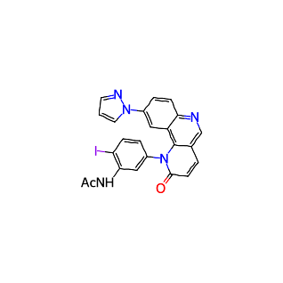 CC(=O)Nc1cc(-n2c(=O)ccc3cnc4ccc(-n5cccn5)cc4c32)ccc1I